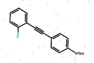 CCCCCCc1ccc(C#Cc2ccccc2F)cc1